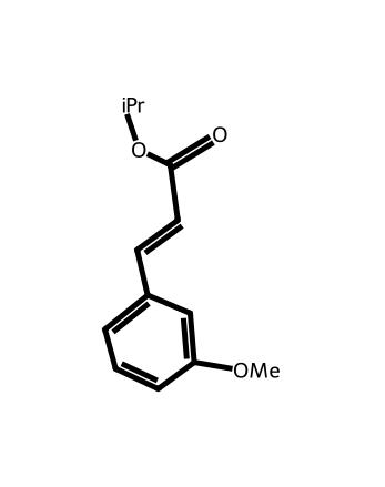 COc1cccc(C=CC(=O)OC(C)C)c1